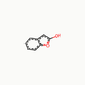 Oc1cc2c[c]ccc2o1